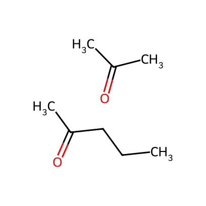 CC(C)=O.CCCC(C)=O